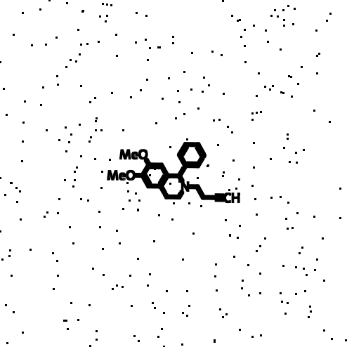 C#CCCN1CCc2cc(OC)c(OC)cc2C1c1ccccc1